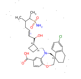 CC(C/C=C/C(O)[C@@H]1CC[C@H]1CN1C[C@@]2(CCCc3cc(Cl)ccc32)COc2ccc(C(=O)O)cc21)C(C)S(N)(=O)=O